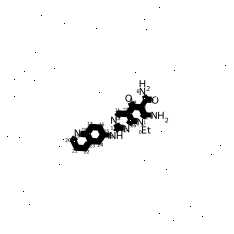 CCn1c(N)c(C(N)=O)c(=O)c2cnc(Nc3ccc4ncccc4c3)nc21